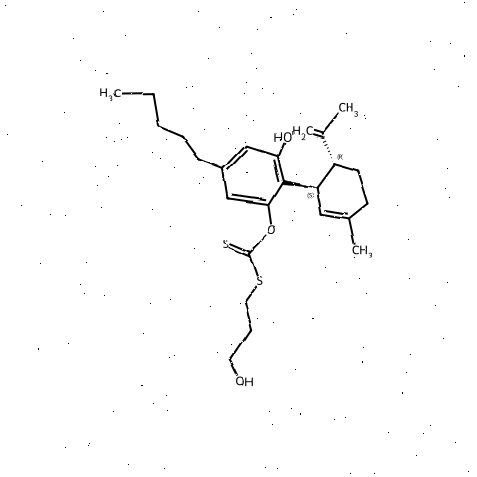 C=C(C)[C@@H]1CCC(C)=C[C@H]1c1c(O)cc(CCCCC)cc1OC(=S)SCCCO